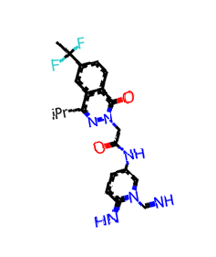 CC(C)c1nn(CC(=O)Nc2ccc(=N)n(C=N)c2)c(=O)c2ccc(C(C)(F)F)cc12